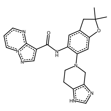 CC1(C)Cc2cc(NC(=O)c3cnn4cccnc34)c(N3CCc4[nH]cnc4C3)cc2O1